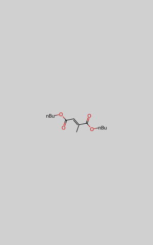 CCCCOC(=O)/C=C(\C)C(=O)OCCCC